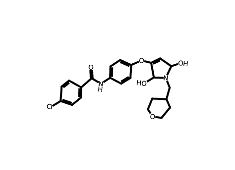 O=C(Nc1ccc(OC2=CC(O)N(CC3CCOCC3)C2O)cc1)c1ccc(Cl)cc1